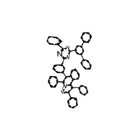 c1ccc(-c2cc(-c3ccccc3)cc(-c3nc(-c4ccccc4)nc(-c4cccc(-c5c(-c6ccccc6)n6nc(-c7ccccc7)c(-c7ccccc7)c6c6ccccc56)c4)n3)c2)cc1